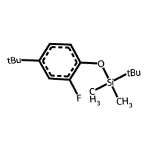 CC(C)(C)c1ccc(O[Si](C)(C)C(C)(C)C)c(F)c1